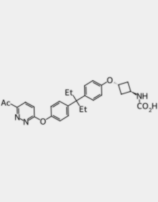 CCC(CC)(c1ccc(Oc2ccc(C(C)=O)nn2)cc1)c1ccc(O[C@H]2C[C@H](NC(=O)O)C2)cc1